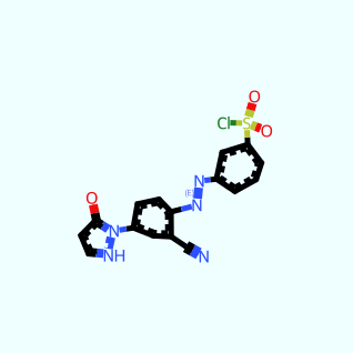 N#Cc1cc(-n2[nH]ccc2=O)ccc1/N=N/c1cccc(S(=O)(=O)Cl)c1